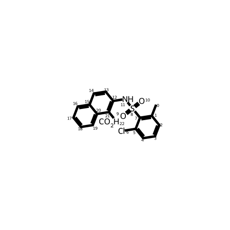 Cc1cccc(Cl)c1S(=O)(=O)Nc1ccc2ccccc2c1C(=O)O